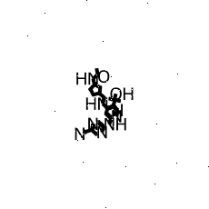 CC(=O)NC1CCC(CNc2cc(Nc3cnc(C#N)cn3)nnc2C(C)(C)O)C1